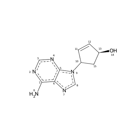 Nc1ncnc2c1ncn2C1C=C[C@@H](O)C1